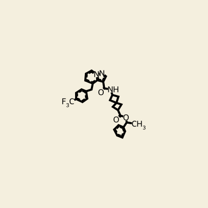 CC(OC(=O)C1CC2(CC(NC(=O)c3cnn4cccc(Cc5ccc(C(F)(F)F)cc5)c34)C2)C1)c1ccccc1